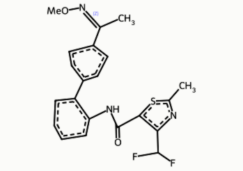 CO/N=C(/C)c1ccc(-c2ccccc2NC(=O)c2sc(C)nc2C(F)F)cc1